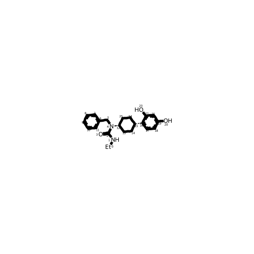 CCNC(=O)N(Cc1ccccc1)[C@H]1CC[C@@H](c2ccc(O)cc2O)CC1